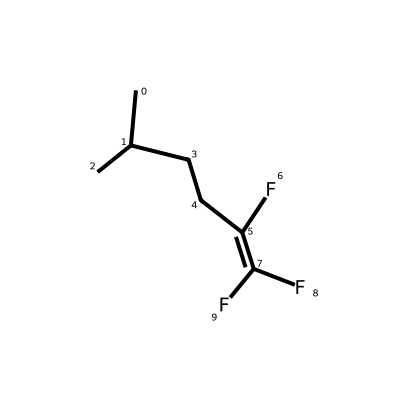 CC(C)CCC(F)=C(F)F